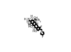 CN(C)[C@@H]1C(O)=C(C(N)=O)C(=O)[C@@]2(O)C(O)=C3C(=O)c4c(O)cc(CN5CCC(F)CC5)c(F)c4C[C@H]3C[C@@H]12